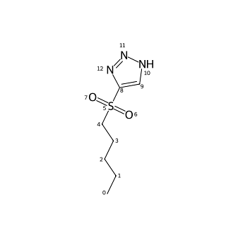 CCCCCS(=O)(=O)c1c[nH]nn1